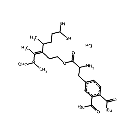 CC(=C(CCOC(=O)C(N)Cc1ccc(C(=O)C(C)(C)C)c(C(=O)C(C)(C)C)c1)C(C)CCC(S)S)N(C)C=O.Cl